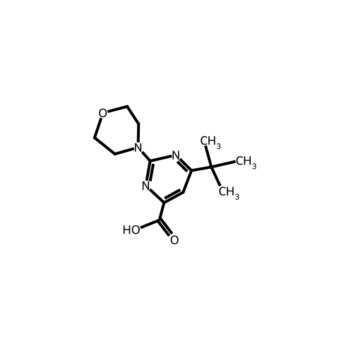 CC(C)(C)c1cc(C(=O)O)nc(N2CCOCC2)n1